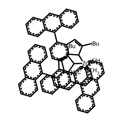 CCC(C)C1=Cc2c(-c3c4ccccc4cc4ccccc34)ccc(-c3c4ccccc4cc4ccccc34)c2[CH]1[Zr]([CH3])([CH3])(=[SiH2])[CH]1C(C(C)CC)=Cc2c(-c3c4ccccc4cc4ccccc34)ccc(-c3c4ccccc4cc4ccccc34)c21